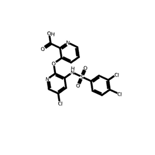 O=C(O)c1ncccc1Oc1ncc(Cl)cc1NS(=O)(=O)c1ccc(Cl)c(Cl)c1